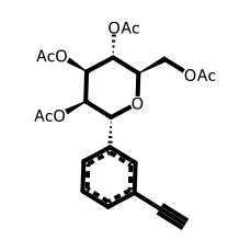 C#Cc1cccc([C@H]2O[C@H](COC(C)=O)[C@@H](OC(C)=O)[C@H](OC(C)=O)[C@@H]2OC(C)=O)c1